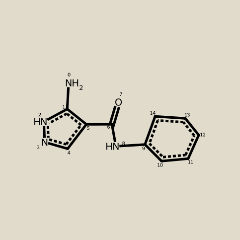 Nc1[nH]ncc1C(=O)Nc1ccccc1